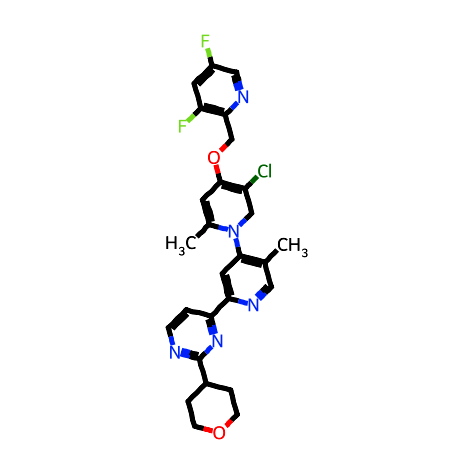 CC1=CC(OCc2ncc(F)cc2F)=C(Cl)CN1c1cc(-c2ccnc(C3CCOCC3)n2)ncc1C